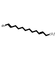 CCCCC=CCCCCCCCC=CCC(=O)O